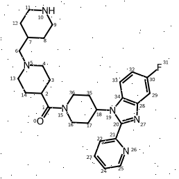 O=C(C1CCN(CC2CCNCC2)CC1)N1CCC(n2c(-c3ccccn3)nc3cc(F)ccc32)CC1